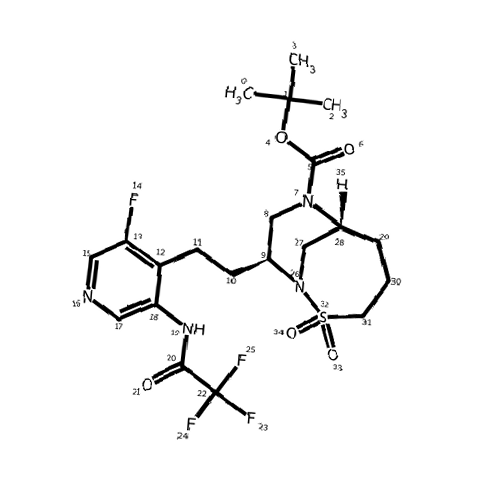 CC(C)(C)OC(=O)N1C[C@H](CCc2c(F)cncc2NC(=O)C(F)(F)F)N2C[C@H]1CCCS2(=O)=O